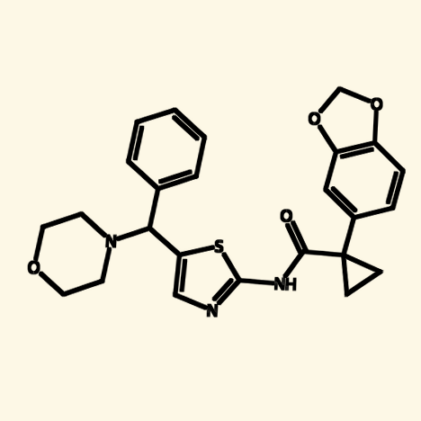 O=C(Nc1ncc(C(c2ccccc2)N2CCOCC2)s1)C1(c2ccc3c(c2)OCO3)CC1